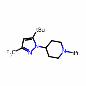 CC(C)N1CCC(n2nc(C(F)(F)F)cc2C(C)(C)C)CC1